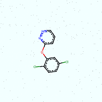 Clc1ccc(Cl)c(Oc2cc[c]nn2)c1